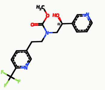 COC(=O)N(CCc1ccc(C(F)(F)F)nc1)C[C@@H](O)c1cccnc1